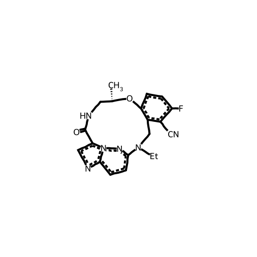 CCN1Cc2c(ccc(F)c2C#N)O[C@@H](C)CNC(=O)c2cnc3ccc1nn23